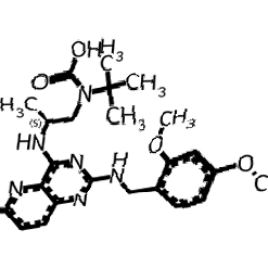 COc1ccc(CNc2nc(N[C@@H](C)CN(C(=O)O)C(C)(C)C)c3ncccc3n2)c(OC)c1